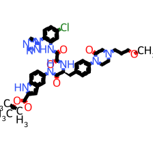 COCCCN1CCN(c2ccc(C[C@H](NC(=O)C(=O)Nc3cc(Cl)ccc3-n3cnnn3)C(=O)Nc3ccc4[nH]c(C(=O)OC(C)(C)C)cc4c3)cc2)C(=O)C1